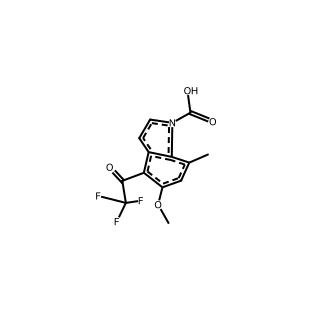 COc1cc(C)c2c(ccn2C(=O)O)c1C(=O)C(F)(F)F